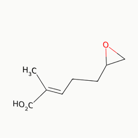 CC(=CCCC1CO1)C(=O)O